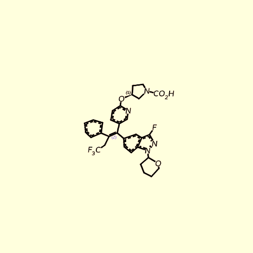 O=C(O)N1CC[C@H](Oc2ccc(/C(=C(/CC(F)(F)F)c3ccccc3)c3ccc4c(c3)c(F)nn4C3CCCCO3)cn2)C1